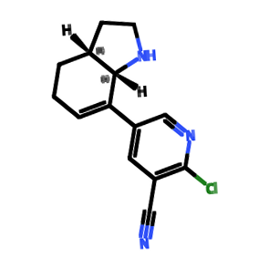 N#Cc1cc(C2=CCC[C@@H]3CCN[C@H]23)cnc1Cl